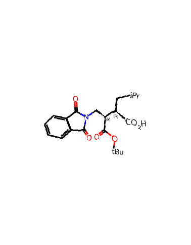 CC(C)C[C@@H](C(=O)O)[C@H](CN1C(=O)c2ccccc2C1=O)C(=O)OC(C)(C)C